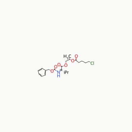 CC(COC(=O)[C@@H](NC(=O)OCc1ccccc1)C(C)C)OC(=O)CCCCCl